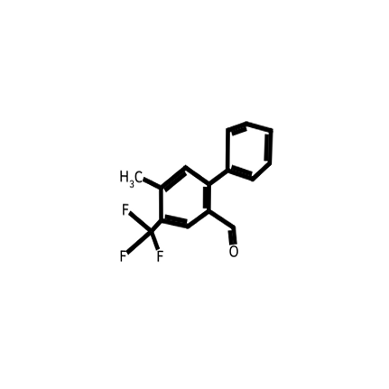 Cc1cc(-c2ccccc2)c(C=O)cc1C(F)(F)F